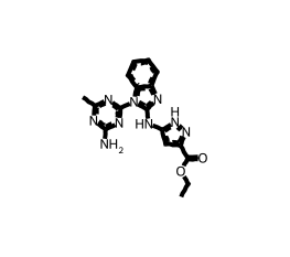 CCOC(=O)c1cc(Nc2nc3ccccc3n2-c2nc(C)nc(N)n2)[nH]n1